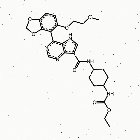 CCOC(=O)NC1CCC(NC(=O)c2c[nH]c3c(-c4c(OCCOC)ccc5c4OCO5)ncnc23)CC1